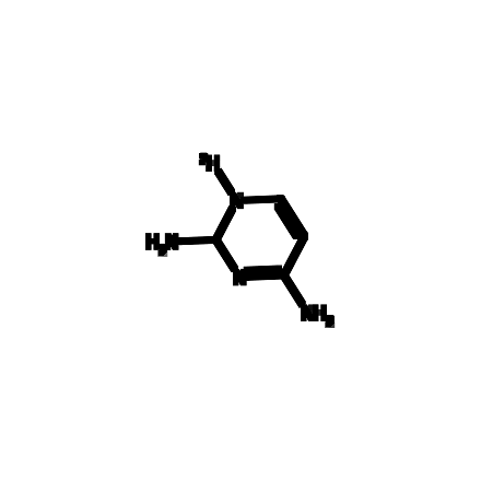 [2H]N1C=CC(N)=NC1N